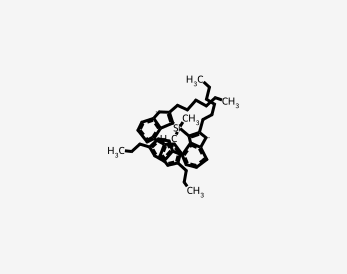 CCCCCCC1=C([Si](C)(C)C2=C(CCCCCC)[CH]c3cccc(-c4ccc(CCC)cc4)c32)c2c(cccc2-c2ccc(CCC)cc2)[CH]1